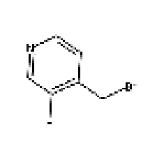 Fc1cnccc1CBr